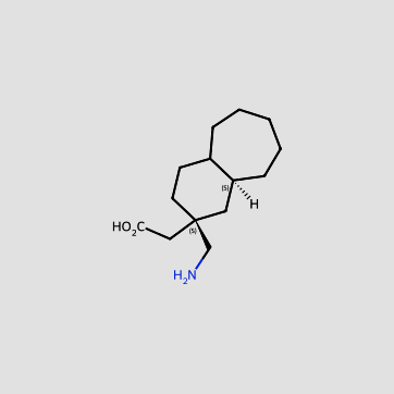 NC[C@@]1(CC(=O)O)CCC2CCCCC[C@H]2C1